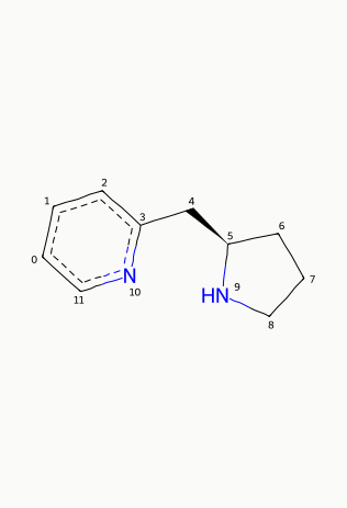 c1ccc(C[C@H]2CCCN2)nc1